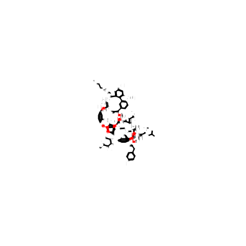 CN[C@H](CC(C)C)C(=O)N[C@H]1C(=O)N[C@@H](CC(N)=O)C(=O)N[C@H]2C(=O)N[C@H]3C(=O)N[C@H](C(=O)N[C@@H](C(=O)NOCCOC)c4cc(O)cc(O)c4-c4cc3ccc4O)[C@H](O)c3ccc(c(Cl)c3)Oc3cc2cc(c3O[C@@H]2O[C@H](CO)[C@@H](O)[C@H](O)[C@H]2O[C@H]2C[C@](C)(NCCn3ccc(NC(=O)Cc4ccc(F)c(Cl)c4)nc3=O)[C@H](O)[C@H](C)O2)Oc2ccc(cc2Cl)[C@H]1O